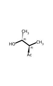 CC(=O)[C@H](C)[C@@H](C)O